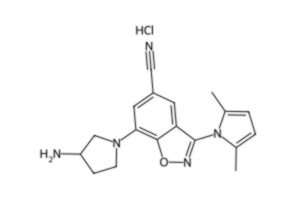 Cc1ccc(C)n1-c1noc2c(N3CCC(N)C3)cc(C#N)cc12.Cl